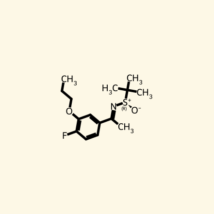 CCCOc1cc(C(C)=N[S@@+]([O-])C(C)(C)C)ccc1F